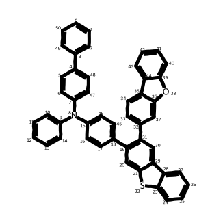 c1ccc(-c2ccc(N(c3ccccc3)c3ccc(-c4cc5sc6ccccc6c5cc4-c4ccc5c(c4)oc4ccccc45)cc3)cc2)cc1